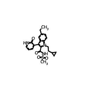 CCc1ccc2c(c1)c(-c1ccc[nH]c1=O)c(C(=O)NS(C)(=O)=O)n2CCC1CC1